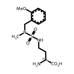 COc1ccccc1CN(C)S(=O)(=O)NCC[C@H](N)C(=O)O